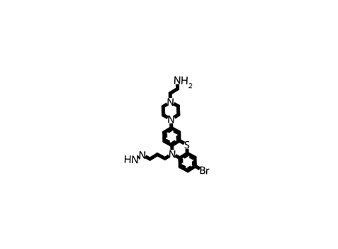 N=NCCCN1c2ccc(Br)cc2Sc2cc(N3CCN(CCN)CC3)ccc21